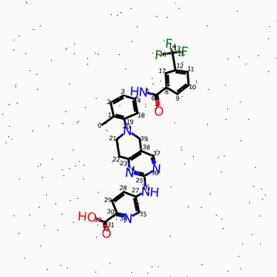 Cc1ccc(NC(=O)c2cccc(C(F)(F)F)c2)cc1N1CCc2nc(Nc3ccc(C(=O)O)nc3)ncc2C1